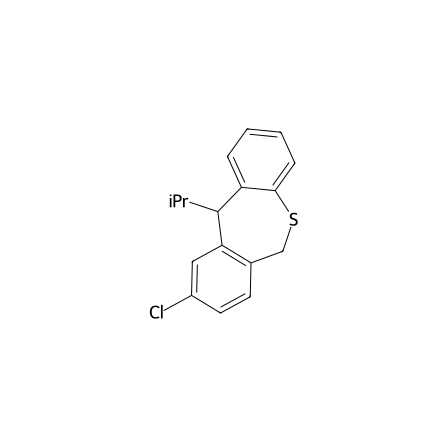 CC(C)C1c2cc(Cl)ccc2CSc2ccccc21